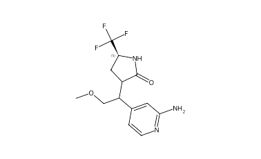 COCC(c1ccnc(N)c1)C1C[C@@H](C(F)(F)F)NC1=O